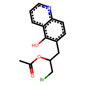 CC(=O)OC(CBr)Cc1ccc2ncccc2c1O